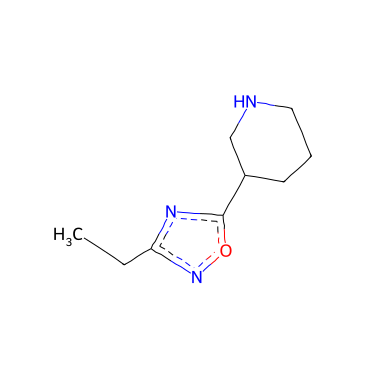 CCc1noc(C2CCCNC2)n1